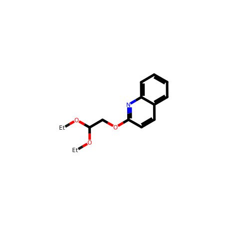 CCOC(COc1ccc2ccccc2n1)OCC